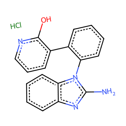 Cl.Nc1nc2ccccc2n1-c1ccccc1-c1cccnc1O